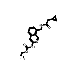 CCNC(=O)Nc1cc2cccc(CNC(=O)CC3CC3)c2cn1